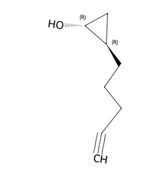 C#CCCC[C@@H]1C[C@H]1O